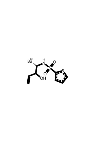 C=CC(O)C(NS(=O)(=O)c1cccs1)[C@@H](C)CC